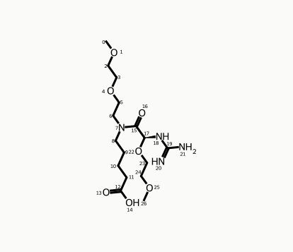 COCCOCCN(CCCCC(=O)O)C(=O)[C@@H](NC(=N)N)OCCOC